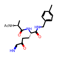 CC(=O)N[C@@H](C)C(=O)N[C@@H](CCC(=O)C=N)C(=O)NCc1ccc(C)cc1